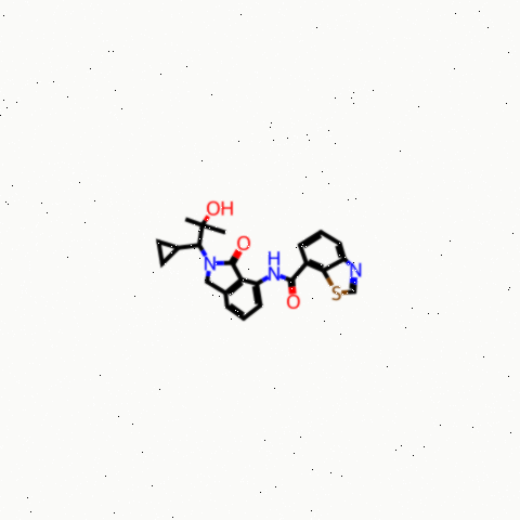 CC(C)(O)C(C1CC1)N1Cc2cccc(NC(=O)c3cccc4ncsc34)c2C1=O